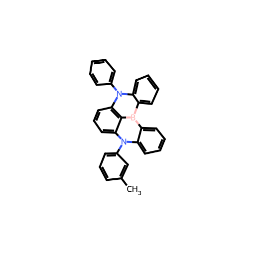 Cc1cccc(N2c3ccccc3B3c4ccccc4N(c4ccccc4)c4cccc2c43)c1